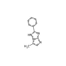 Cc1cnc2nc(-c3ccccc3)[nH]n12